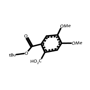 COc1cc(C(=O)O)c(C(=O)OC(C)(C)C)cc1OC